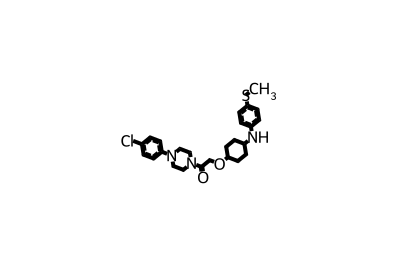 CSc1ccc(NC2CCC(OCC(=O)N3CCN(c4ccc(Cl)cc4)CC3)CC2)cc1